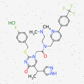 CC(c1cn[nH]c1)c1cn(CC(=O)N(CCN(C)C)Cc2ccc(-c3ccc(C(F)(F)F)cc3)nc2)c(SCc2ccc(F)cc2)nc1=O.Cl